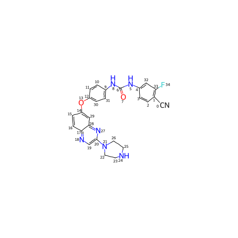 N#Cc1ccc(NC(=O)Nc2ccc(Oc3ccc4ncc(N5CCNCC5)nc4c3)cc2)cc1F